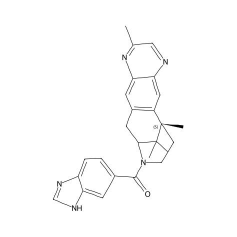 Cc1cnc2cc3c(cc2n1)CC1N(C(=O)c2ccc4nc[nH]c4c2)CC[C@]3(C)C1(C)C